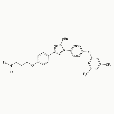 CCCCc1nc(-c2ccc(OCCCN(CC)CC)cc2)cn1-c1ccc(Oc2cc(C(F)(F)F)cc(C(F)(F)F)c2)cc1